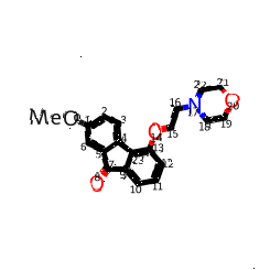 COc1ccc2c(c1)C(=O)c1cccc(OCCN3CCOCC3)c1-2